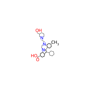 Cc1ccc2c(c1)N(CCN1CCCC(CO)C1)CCn1c-2c(C2CCCCC2)c2ccc(C(=O)O)cc21